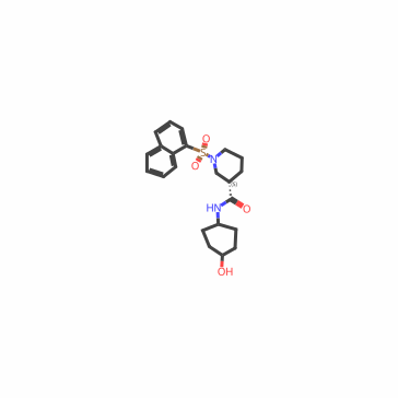 O=C(NC1CCC(O)CC1)[C@H]1CCCN(S(=O)(=O)c2cccc3ccccc23)C1